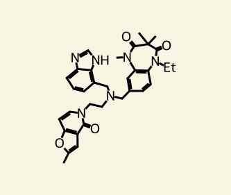 CCN1C(=O)C(C)(C)C(=O)N(C)c2cc(CN(CCn3ccc4oc(C)cc4c3=O)Cc3cccc4nc[nH]c34)ccc21